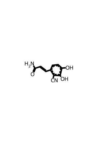 N#Cc1c(C=CC(N)=O)ccc(O)c1O